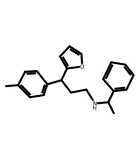 Cc1ccc(C(CCNC(C)c2ccccc2)c2ccco2)cc1